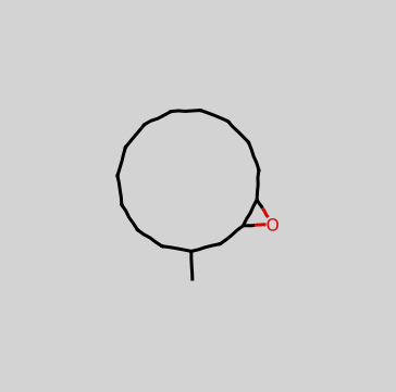 CC1CCCCCCCCCCCC2OC2C1